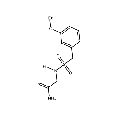 CCOc1cccc(CS(=O)(=O)N(CC)CC(N)=S)c1